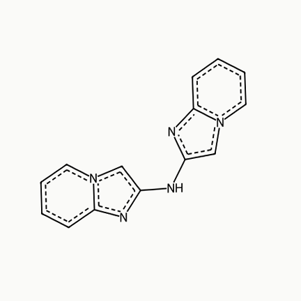 c1ccn2cc(Nc3cn4ccccc4n3)nc2c1